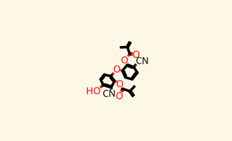 C=C(C)C(=O)Oc1c(C#N)cccc1Oc1ccc(O)c(C#N)c1OC(=O)C(=C)C